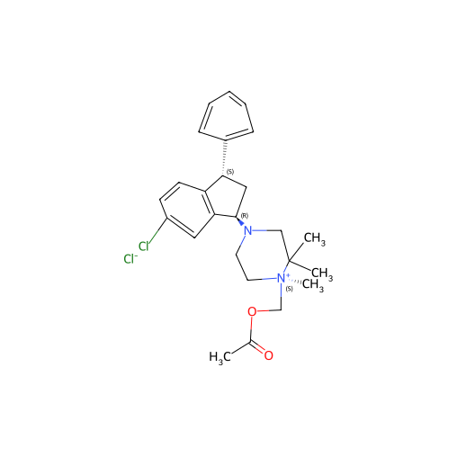 CC(=O)OC[N@@+]1(C)CCN([C@@H]2C[C@@H](c3ccccc3)c3ccc(Cl)cc32)CC1(C)C.[Cl-]